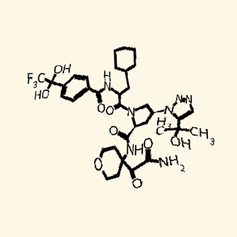 CC(C)(O)c1cnnn1[C@H]1C[C@@H](C(=O)NC2(C(=O)C(N)=O)CCOCC2)N(C(=O)C(CC2CCCCC2)NC(=O)c2ccc(C(O)(O)C(F)(F)F)cc2)C1